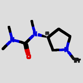 CC(C)N1CC[C@@H](N(C)C(=O)N(C)C)C1